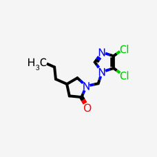 CCCC1CC(=O)N(Cn2cnc(Cl)c2Cl)C1